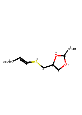 CCCCCC=CSCC1COC(CCCCC)O1